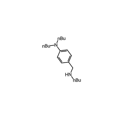 CCCCNCc1ccc(N(CCCC)CCCC)cc1